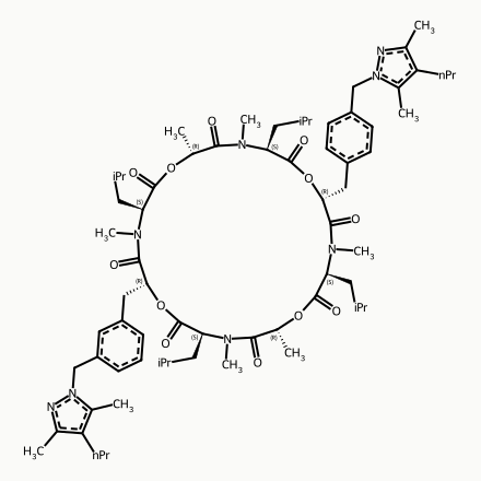 CCCc1c(C)nn(Cc2ccc(C[C@H]3OC(=O)[C@H](CC(C)C)N(C)C(=O)[C@@H](C)OC(=O)[C@H](CC(C)C)N(C)C(=O)[C@@H](Cc4cccc(Cn5nc(C)c(CCC)c5C)c4)OC(=O)[C@H](CC(C)C)N(C)C(=O)[C@@H](C)OC(=O)[C@H](CC(C)C)N(C)C3=O)cc2)c1C